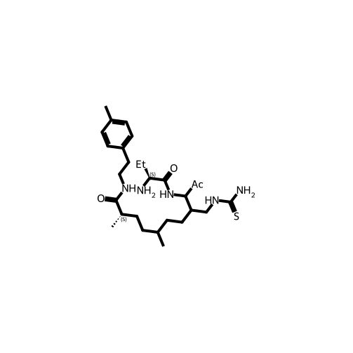 CC[C@H](N)C(=O)NC(C(C)=O)C(CCC(C)CC[C@H](C)C(=O)NCCc1ccc(C)cc1)CNC(N)=S